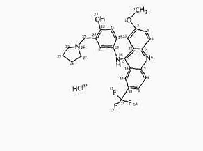 COc1ccc2nc3ccc(C(F)(F)F)cc3c(Nc3ccc(O)c(CN4CCCC4)c3)c2c1.Cl